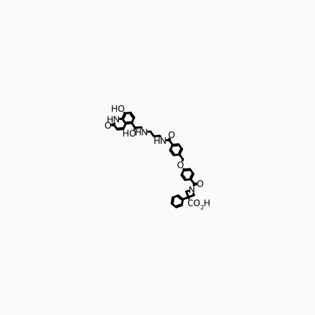 O=C(NCCCNC[C@H](O)c1ccc(O)c2[nH]c(=O)ccc12)c1ccc(COc2ccc(C(=O)N3CC(C(=O)O)(c4ccccc4)C3)cc2)cc1